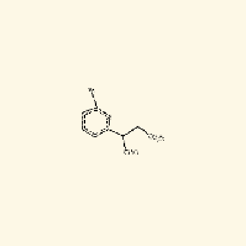 CCOC(=O)CC(C=O)c1cccc(Br)c1